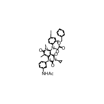 CC(=O)Nc1cccc(-n2c(=O)n(C3CC3)c(=O)c3c(N(C(=O)C(=O)OCc4ccccc4)c4ccc(I)cc4F)n(C)c(=O)c(C)c32)c1